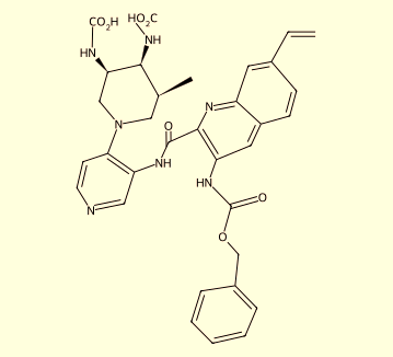 C=Cc1ccc2cc(NC(=O)OCc3ccccc3)c(C(=O)Nc3cnccc3N3C[C@H](C)[C@H](NC(=O)O)[C@H](NC(=O)O)C3)nc2c1